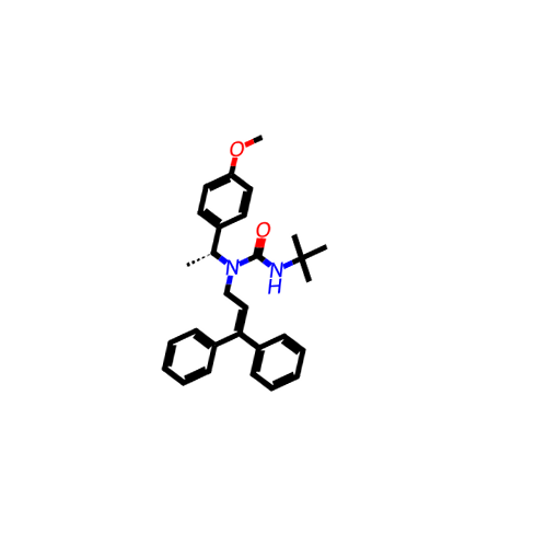 COc1ccc([C@@H](C)N(CC=C(c2ccccc2)c2ccccc2)C(=O)NC(C)(C)C)cc1